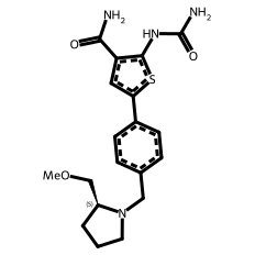 COC[C@@H]1CCCN1Cc1ccc(-c2cc(C(N)=O)c(NC(N)=O)s2)cc1